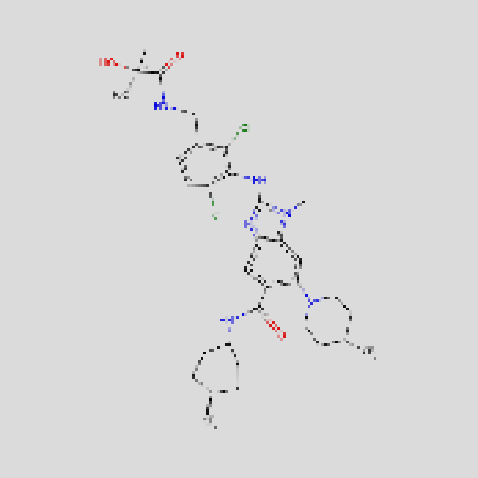 Cn1c(Nc2c(Cl)ccc(CNC(=O)[C@](C)(O)C(F)(F)F)c2Cl)nc2cc(C(=O)N[C@H]3CC[C@H](C(F)(F)F)CC3)c(N3CCC(C(F)(F)F)CC3)cc21